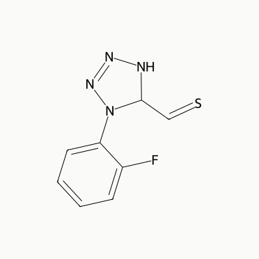 Fc1ccccc1N1N=NNC1C=S